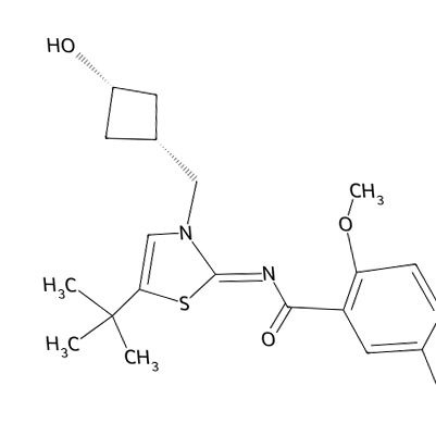 COc1ccc(Cl)cc1C(=O)N=c1sc(C(C)(C)C)cn1C[C@H]1C[C@@H](O)C1